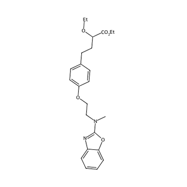 CCOC(=O)C(CCc1ccc(OCCN(C)c2nc3ccccc3o2)cc1)OCC